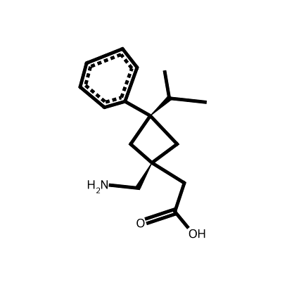 CC(C)[C@]1(c2ccccc2)C[C@@](CN)(CC(=O)O)C1